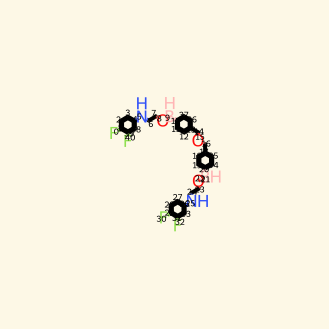 Fc1ccc(NCCOBc2ccc(COCc3ccc(BOCCNc4ccc(F)c(F)c4)cc3)cc2)cc1F